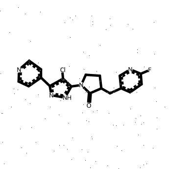 O=C1C(Cc2ccc(F)nc2)CCN1c1[nH]nc(-c2ccncc2)c1Cl